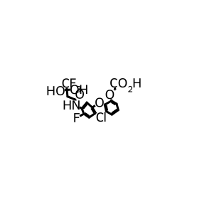 O=C(O)COc1ccccc1Oc1cc(NC(=O)CC(O)(O)C(F)(F)F)c(F)cc1Cl